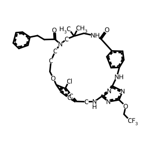 CC1(C)CNC(=O)c2ccc(cc2)Nc2nc(nc(OCC(F)(F)F)n2)NCc2ccc(c(Cl)c2)OCCCN(C(=O)CCc2ccccc2)C1